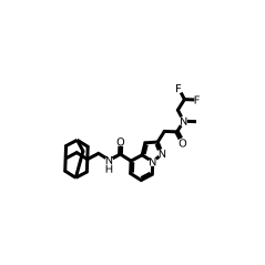 CN(CC(F)F)C(=O)Cc1cc2c(C(=O)NCC34CC5CC(CC(C5)C3)C4)cccn2n1